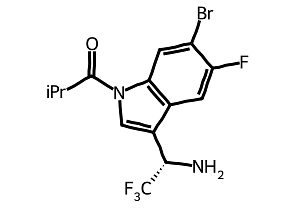 CC(C)C(=O)n1cc([C@H](N)C(F)(F)F)c2cc(F)c(Br)cc21